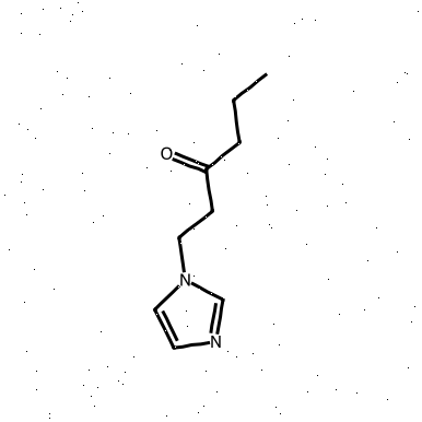 CCCC(=O)CCn1ccnc1